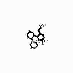 Cl.O=C(O)C=Cc1ccc(Cl)c(Cl)c1C1CCCCC1N1CCOCC1